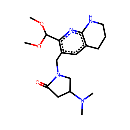 COC(OC)c1nc2c(cc1CN1CC(N(C)C)CC1=O)CCCN2